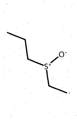 [CH2]C[S+]([O-])CCC